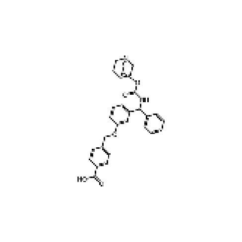 O=C(NC(c1ccccc1)c1cccc(OCc2ccc(C(=O)O)cc2)c1)OC1CN2CCC1CC2